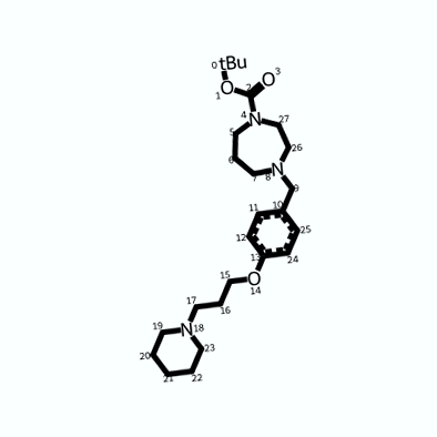 CC(C)(C)OC(=O)N1CCCN(Cc2ccc(OCCCN3CCCCC3)cc2)CC1